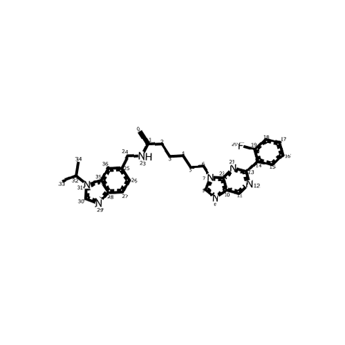 C=C(CCCCCn1cnc2cnc(-c3ccccc3F)nc21)NCc1ccc2ncn(C(C)C)c2c1